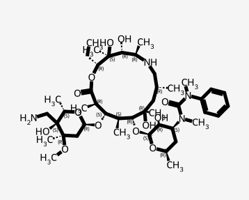 CC[C@H]1OC(=O)[C@H](C)[C@@H](O[C@H]2C[C@@](C)(OC)[C@](O)(CN)[C@H](C)O2)[C@H](C)[C@@H](O[C@@H]2O[C@H](C)C[C@H](N(C)C(=O)N(C)c3ccccc3)[C@H]2O)[C@](C)(O)C[C@@H](C)CN[C@H](C)[C@@H](O)[C@]1(C)O